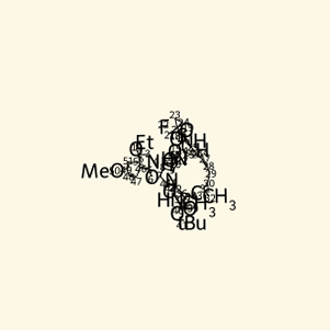 CCOc1cnc(O[C@@H]2C[C@H]3C(=O)N[C@]4(C(=O)NS(=O)(=O)C5(CF)CC5)C[C@H]4/C=C\CC[C@@H](C)C[C@@H](C)[C@H](NC(=O)OC(C)(C)C)C(=O)N3C2)c2ccc(OC)cc12